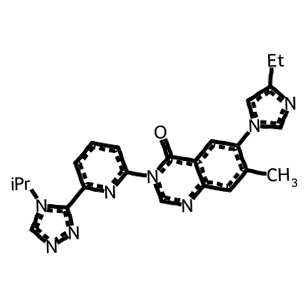 CCc1cn(-c2cc3c(=O)n(-c4cccc(-c5nncn5C(C)C)n4)cnc3cc2C)cn1